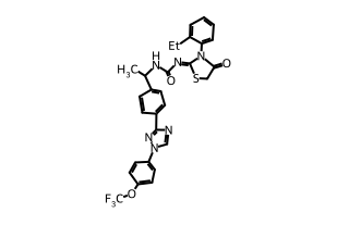 CCc1ccccc1N1C(=O)CS/C1=N\C(=O)NC(C)c1ccc(-c2ncn(-c3ccc(OC(F)(F)F)cc3)n2)cc1